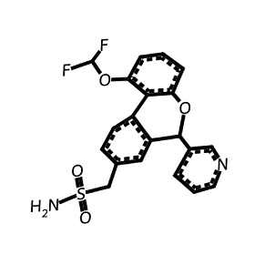 NS(=O)(=O)Cc1ccc2c(c1)C(c1cccnc1)Oc1cccc(OC(F)F)c1-2